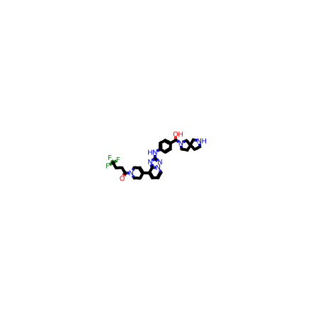 O=C(CCC(F)(F)F)N1CC=C(c2cccn3nc(Nc4ccc(C(O)N5CCC6(CCNC6)C5)cc4)nc23)CC1